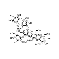 CC(=O)N[C@H]1[C@H](O[C@@H]2[C@H](O[C@@H]3O[C@H](CO)[C@H](O)[C@H](O[C@H]4O[C@H](CO)[C@H](O)[C@H](O)[C@H]4NC(C)=O)[C@H]3NC(C)=O)[C@@H](O)[C@@H](O[C@@H]3[C@H](O)[C@@H](O)[C@H](O[C@H]4[C@H](O)[C@@H](O)[C@H](O)O[C@@H]4CO)O[C@@H]3CO)O[C@@H]2CO)O[C@H](CO)[C@H](O)[C@@H]1O